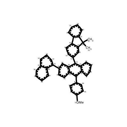 COc1ccc(-c2c3ccccc3c(-c3ccc4c(c3)C(C)(C)c3ccccc3-4)c3cc(-c4cccc5ccccc45)ccc23)cc1